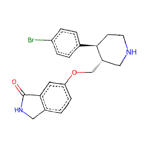 O=C1NCc2ccc(OC[C@H]3CNCC[C@@H]3c3ccc(Br)cc3)cc21